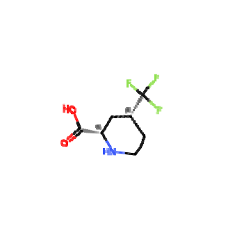 O=C(O)[C@@H]1C[C@H](C(F)(F)F)CCN1